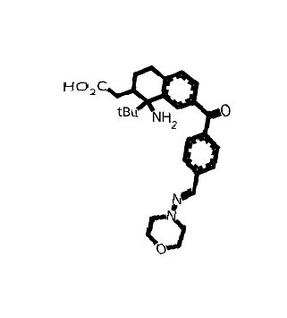 CC(C)(C)C1(N)c2cc(C(=O)c3ccc(C=NN4CCOCC4)cc3)ccc2CCC1CC(=O)O